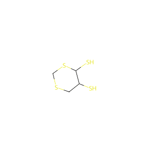 SC1CSCSC1S